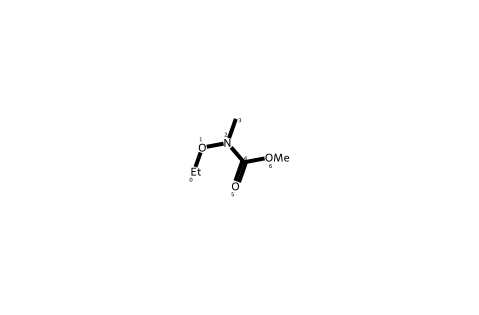 CCON(C)C(=O)OC